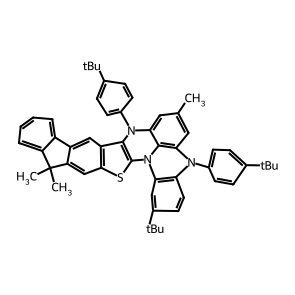 Cc1cc2c3c(c1)N(c1ccc(C(C)(C)C)cc1)c1c(sc4cc5c(cc14)-c1ccccc1C5(C)C)N3c1cc(C(C)(C)C)ccc1N2c1ccc(C(C)(C)C)cc1